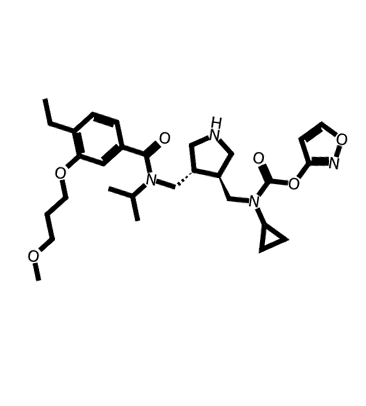 CCc1ccc(C(=O)N(C[C@@H]2CNC[C@H]2CN(C(=O)Oc2ccon2)C2CC2)C(C)C)cc1OCCCOC